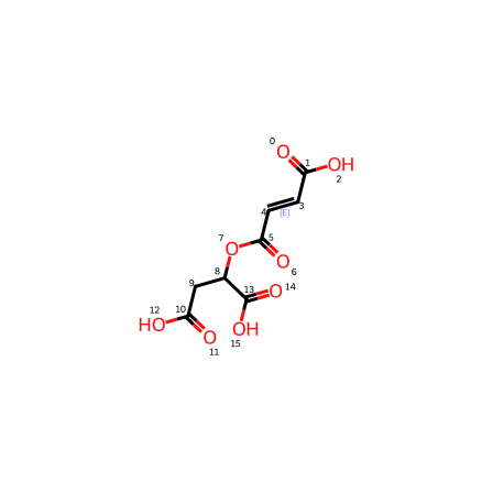 O=C(O)/C=C/C(=O)OC(CC(=O)O)C(=O)O